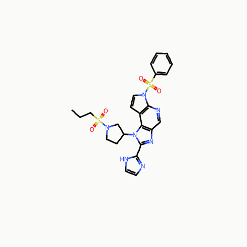 CCCS(=O)(=O)N1CCC(n2c(-c3ncc[nH]3)nc3cnc4c(ccn4S(=O)(=O)c4ccccc4)c32)C1